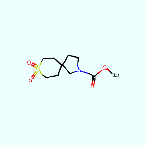 CC(C)(C)OC(=O)N1CCC2(CCS(=O)(=O)CC2)C1